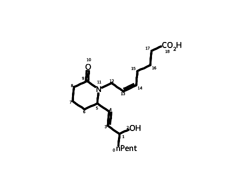 CCCCCC(O)/C=C/C1CCCC(=O)N1C/C=C\CCCC(=O)O